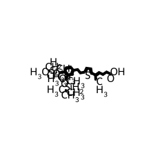 CCC(=CCCC(=O)O)c1ccc(CCc2ccc(C(C)(C)O[SiH2]C(C)(C)C)c(C(C)(C)O[SiH2]C(C)(C)C)c2)s1